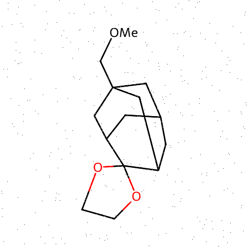 COCC12CC3CC(C1)C1(OCCO1)C(C3)C2